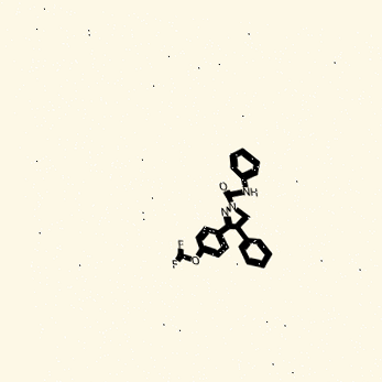 O=C(Nc1ccccc1)N1CC(c2ccccc2)C(c2ccc(OC(F)F)cc2)=N1